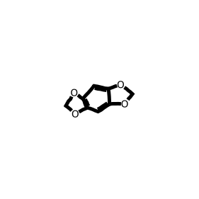 c1c2c(cc3c1OCO3)OCO2